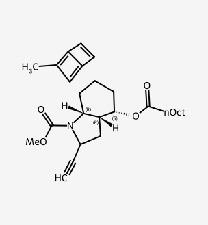 C#CC1C[C@H]2[C@@H](OC(=O)CCCCCCCC)CCC[C@H]2N1C(=O)OC.Cc1cc2ccc1-2